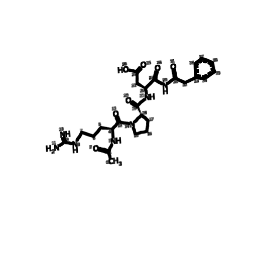 CC(=O)N[C@@H](CCCNC(=N)N)C(=O)N1CCC[C@H]1C(=O)N[C@@H](CC(=O)O)C(=O)NC(=O)Cc1ccccc1